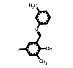 Cc1cccc(/N=C/c2cc(I)cc(C)c2O)c1